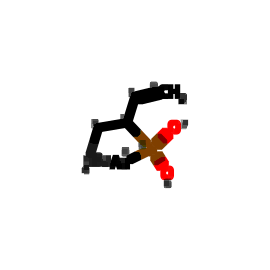 C=CC(CCCCC)[S](=O)(=O)[Au]